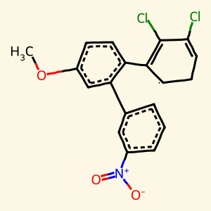 COc1ccc(C2=C(Cl)C(Cl)=CC[CH]2)c(-c2cccc([N+](=O)[O-])c2)c1